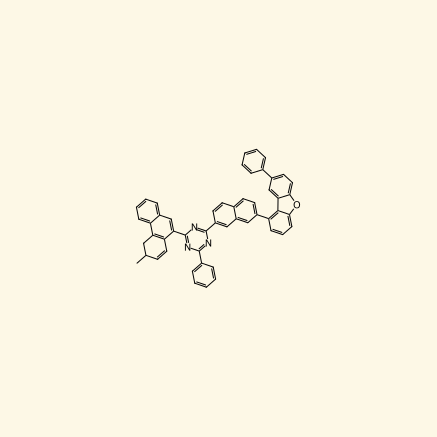 CC1C=Cc2c(-c3nc(-c4ccccc4)nc(-c4ccc5ccc(-c6cccc7oc8ccc(-c9ccccc9)cc8c67)cc5c4)n3)cc3ccccc3c2C1